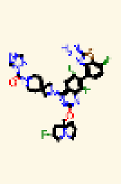 Nc1nc2c(-c3c(Cl)cc4c(N5CC6(CCN(C(=O)n7cncn7)CC6)C5)nc(OC[C@@]56CCCN5C[C@H](F)C6)nc4c3F)ccc(F)c2s1